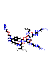 CCCNC(=O)[C@H](CC(=O)NCCNCCN)NC(=O)[C@@H](CC(=O)NCCNCCN)NC(=O)[C@H](Cc1ccccc1)NC(=O)[C@@H](CC(C)C)NC(=O)CCCc1cn(CCOCCN=[N+]=[N-])nn1